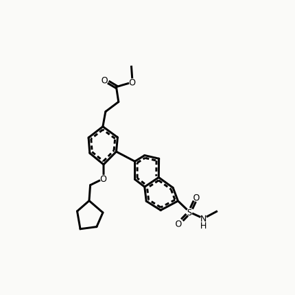 CNS(=O)(=O)c1ccc2cc(-c3cc(CCC(=O)OC)ccc3OCC3CCCC3)ccc2c1